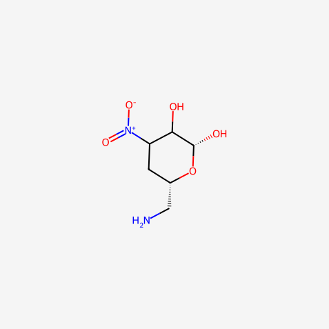 NC[C@@H]1CC([N+](=O)[O-])C(O)[C@H](O)O1